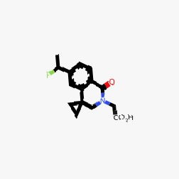 CC(F)c1ccc2c(c1)C1(CC1)CN(CC(=O)O)C2=O